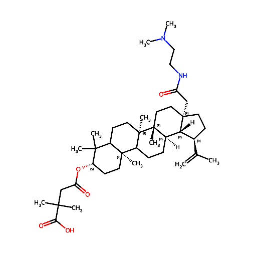 C=C(C)[C@@H]1CC[C@]2(CC(=O)NCCN(C)C)CC[C@]3(C)[C@H](CCC4[C@@]5(C)CC[C@H](OC(=O)CC(C)(C)C(=O)O)C(C)(C)C5CC[C@]43C)[C@@H]12